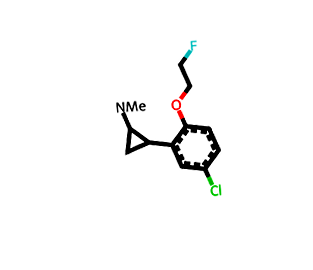 CNC1CC1c1cc(Cl)ccc1OCCF